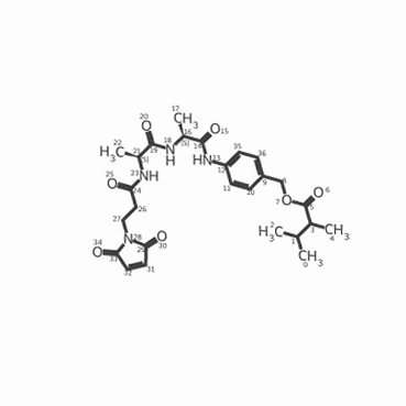 CC(C)C(C)C(=O)OCc1ccc(NC(=O)[C@H](C)NC(=O)[C@H](C)NC(=O)CCN2C(=O)C=CC2=O)cc1